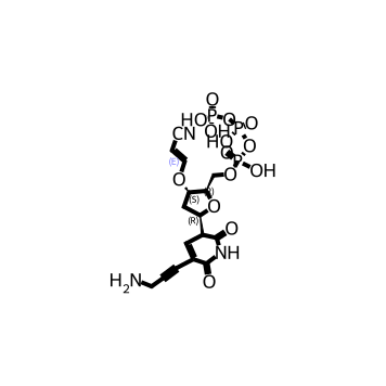 N#C/C=C/O[C@H]1C[C@H](C2C=C(C#CCN)C(=O)NC2=O)O[C@@H]1COP(=O)(O)OP(=O)(O)OP(=O)(O)O